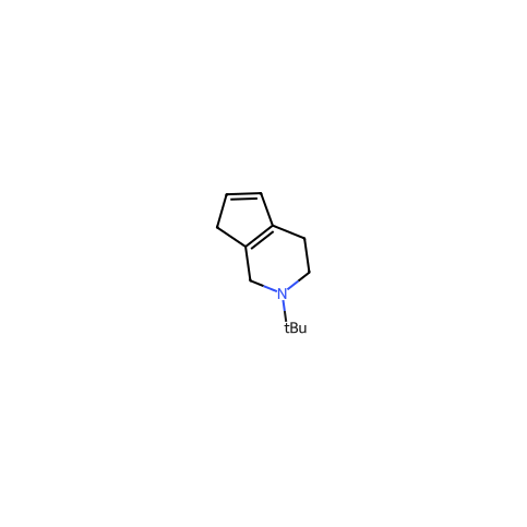 CC(C)(C)N1CCC2=C(CC=C2)C1